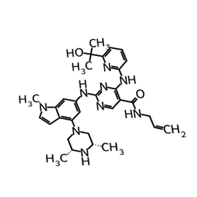 C=CCNC(=O)c1cnc(Nc2cc(N3C[C@@H](C)N[C@@H](C)C3)c3ccn(C)c3c2)nc1Nc1cccc(C(C)(C)O)n1